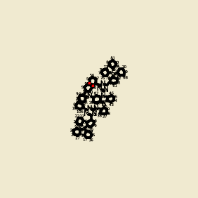 c1ccc(-c2nc(-c3cccc([Si](c4ccccc4)(c4ccccc4)c4ccccc4)c3)nc(N3c4ccccc4B4c5ccccc5N(c5nc(-c6ccccc6)nc(-c6cccc([Si](c7ccccc7)(c7ccccc7)c7ccccc7)c6)n5)c5cc(-n6c7ccccc7c7ccccc76)cc3c54)n2)cc1